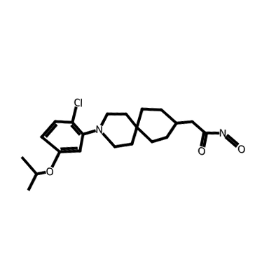 CC(C)Oc1ccc(Cl)c(N2CCC3(CCC(CC(=O)N=O)CC3)CC2)c1